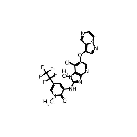 Cn1cc(C(F)(F)C(F)(F)F)cc(Nc2nc3ncc(Oc4cnn5ccncc45)c(Cl)c3n2C)c1=O